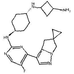 NC1CC(N[C@H]2CC[C@H](Nc3ncc(F)c(-c4cnn5c4CC4(CC4)C5)n3)CC2)C1